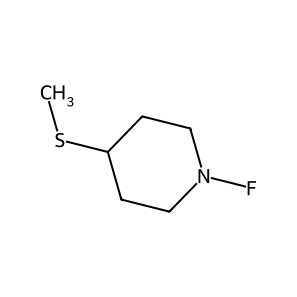 CSC1CCN(F)CC1